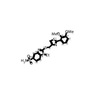 CCn1c(SCc2csc(-c3cccc(OC)c3OC)n2)nc2cc(S(N)(=O)=O)ccc21